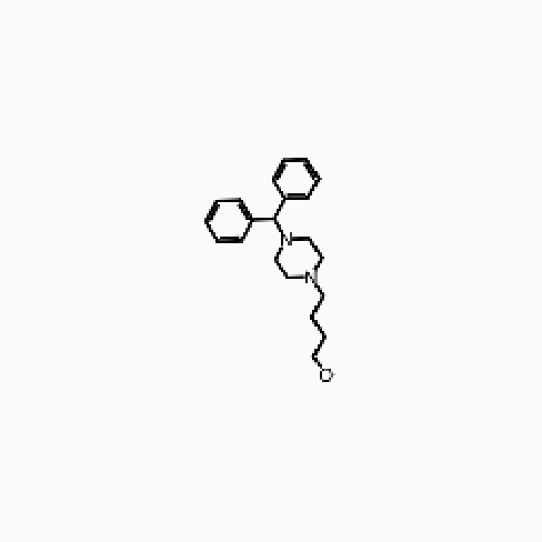 [O]CCCCN1CCN(C(c2ccccc2)c2ccccc2)CC1